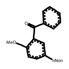 CCCCCCCCCc1ccc(OC)c(C(=O)c2ccccc2)c1